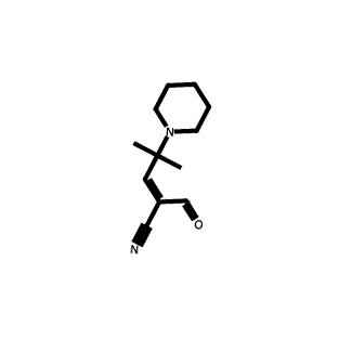 CC(C)(C=C([C]=O)C#N)N1CCCCC1